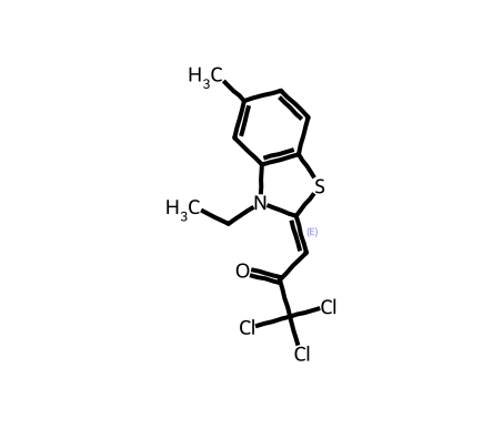 CCN1/C(=C\C(=O)C(Cl)(Cl)Cl)Sc2ccc(C)cc21